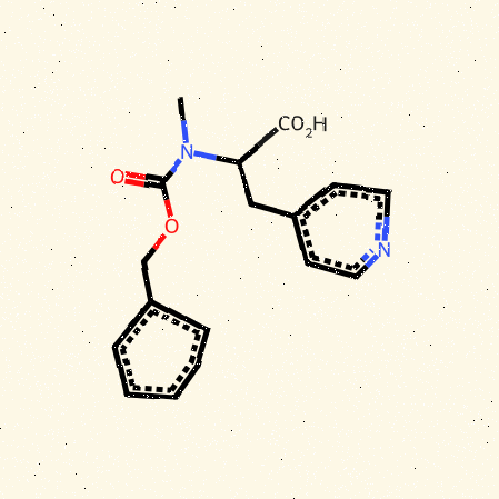 CN(C(=O)OCc1ccccc1)C(Cc1ccncc1)C(=O)O